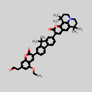 CCOc1cc(CC=O)cc2oc(=O)c(-c3ccc4c(c3)C(C)(C)c3cc(-c5cc6cc7c8c(c6oc5=O)C(C)(C)CCN8CCC7(C)C)ccc3-4)cc12